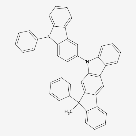 CC1(c2ccccc2)c2ccccc2-c2cc3c4ccccc4n(-c4ccc5c(c4)c4ccccc4n5-c4ccccc4)c3cc21